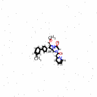 COC[C@@H]1[C@@H](c2ccc(-c3cccc(C)c3)cc2)[C@@H]2CN(C(=O)Cc3ccccn3)CC(=O)N12